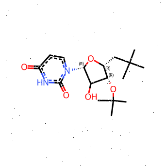 CC(C)(C)C[C@H]1O[C@@H](n2ccc(=O)[nH]c2=O)C(O)[C@H]1OC(C)(C)C